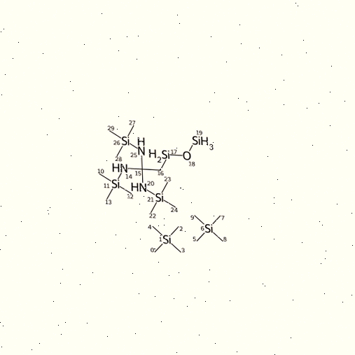 C[Si](C)(C)C.C[Si](C)(C)C.C[Si](C)(C)NC(C[SiH2]O[SiH3])(N[Si](C)(C)C)N[Si](C)(C)C